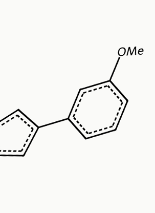 COc1cccc(-c2ccsc2)c1